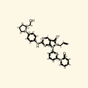 C=CCn1c(=O)c2cnc(Nc3ccc(N4CCC[C@H]4CO)cc3)nc2n1-c1cccc(-n2ccccc2=O)n1